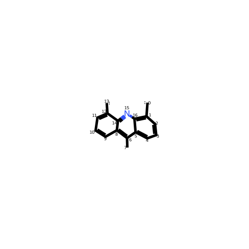 [CH]c1cccc2c(C)c3cccc([CH])c3nc12